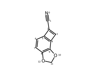 N#CC1=Cc2c1ccc1c2OCO1